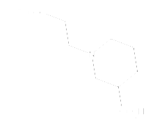 CCOC(=O)CCN1CCCC(C(=O)O)C1